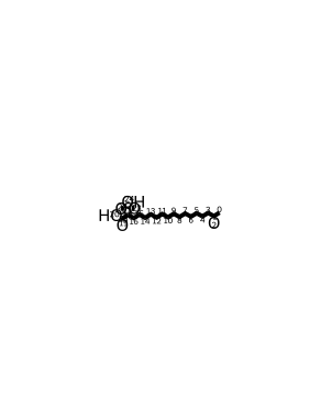 CC(=O)CCCCCCCCCCCCCCC(C(=O)O)S(=O)(=O)O